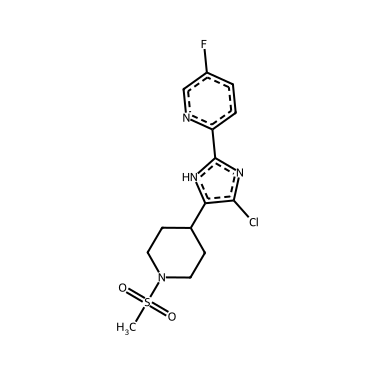 CS(=O)(=O)N1CCC(c2[nH]c(-c3ccc(F)cn3)nc2Cl)CC1